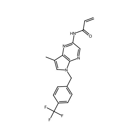 C=CC(=O)Nc1cnc2c(n1)c(C)cn2Cc1ccc(C(F)(F)F)cc1